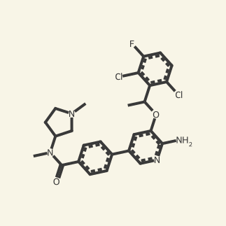 CC(Oc1cc(-c2ccc(C(=O)N(C)C3CCN(C)C3)cc2)cnc1N)c1c(Cl)ccc(F)c1Cl